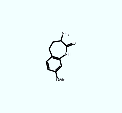 COc1ccc2c(c1)NC(=O)C(N)CC2